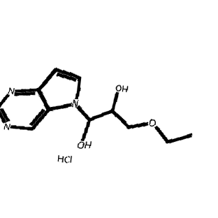 CCOCC(O)C(O)n1ccc2ncncc21.Cl